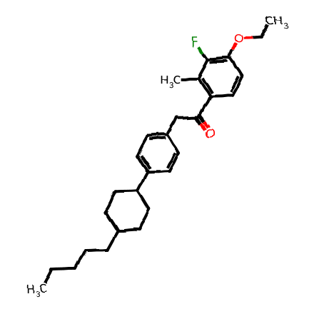 CCCCCC1CCC(c2ccc(CC(=O)c3ccc(OCC)c(F)c3C)cc2)CC1